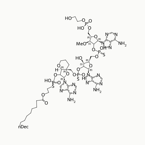 CCCCCCCCCCCCCCCCCC(=O)OCCSP(=O)(O)OC1[C@H](n2cnc3c(N)ncnc32)O[C@@]2(COP(O)(=S)OC3[C@@H](O)[C@@H](COP(O)(=S)OC4[C@@H](OC)[C@@H](COP(=O)(O)OCCO)O[C@H]4n4cnc5c(N)ncnc54)O[C@H]3n3cnc4c(N)ncnc43)CCCO[C@H]12